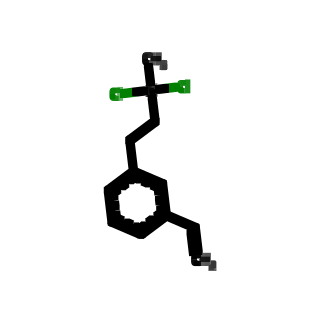 C=Cc1cccc(CC[Si](C)(Cl)Cl)c1